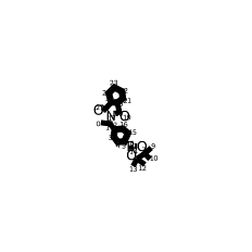 CC(c1ccc(B2OC(C)(C)C(C)(C)O2)cc1)N1C(=O)c2ccccc2C1=O